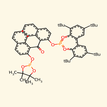 CC(C)(C)c1cc(C(C)(C)C)c2op(Oc3ccc4ccccc4c3C(=O)c3c(OP4OC(C)(C)C(C)(C)O4)ccc4ccccc34)oc3c(C(C)(C)C)cc(C(C)(C)C)cc3c2c1